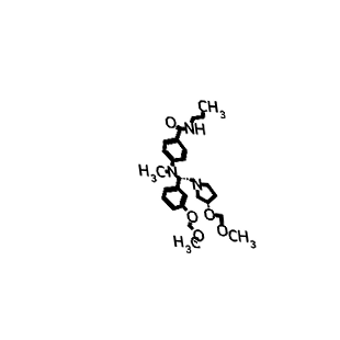 CCCNC(=O)c1ccc(N(C)[C@H](CN2CC[C@H](OCOC)C2)c2cccc(OCOC)c2)cc1